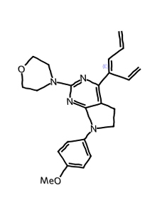 C=C/C=C(\C=C)c1nc(N2CCOCC2)nc2c1CCN2c1ccc(OC)cc1